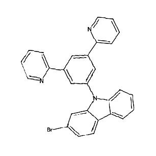 Brc1ccc2c3ccccc3n(-c3cc(-c4ccccn4)cc(-c4ccccn4)c3)c2c1